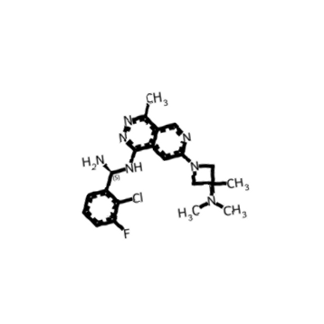 Cc1nnc(N[C@H](N)c2cccc(F)c2Cl)c2cc(N3CC(C)(N(C)C)C3)ncc12